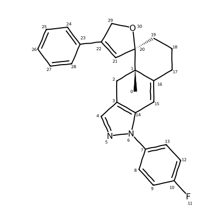 C[C@]12Cc3cnn(-c4ccc(F)cc4)c3C=C1CCC[C@@]21C=C(c2ccccc2)CO1